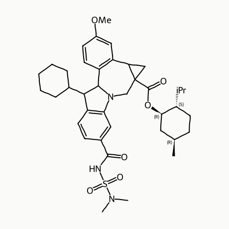 COc1ccc2c(c1)C1CC1(C(=O)O[C@@H]1C[C@H](C)CC[C@H]1C(C)C)CN1c3cc(C(=O)NS(=O)(=O)N(C)C)ccc3C(C3CCCCC3)C21